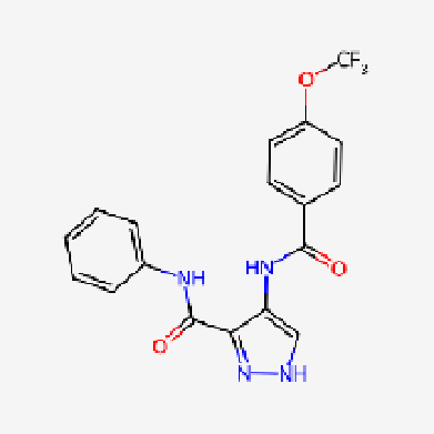 O=C(Nc1c[nH]nc1C(=O)Nc1ccccc1)c1ccc(OC(F)(F)F)cc1